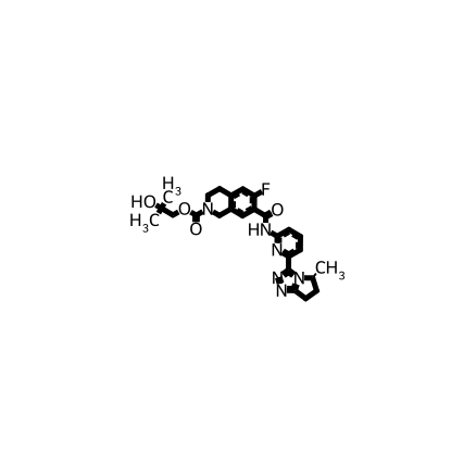 C[C@@H]1CCc2nnc(-c3cccc(NC(=O)c4cc5c(cc4F)CCN(C(=O)OCC(C)(C)O)C5)n3)n21